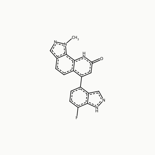 Cn1ncc2ccc3c(-c4ccc(F)c5[nH]ncc45)cc(=O)[nH]c3c21